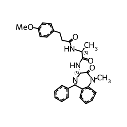 COc1ccc(CCC(=O)N[C@@H](C)C(=O)N[C@H]2N=C(c3ccccc3)c3ccccc3N(C)C2=O)cc1